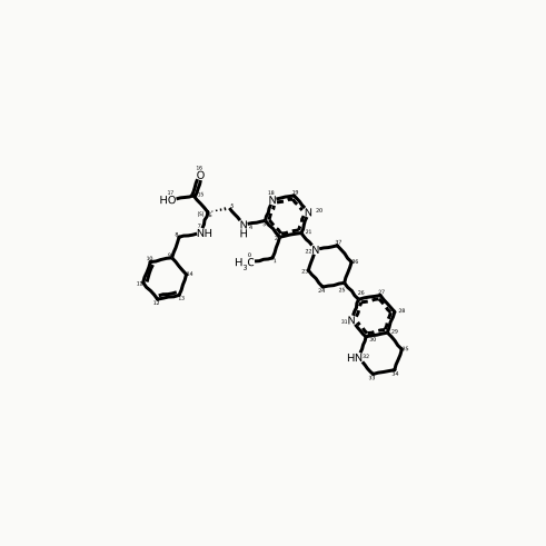 CCc1c(NC[C@H](NCC2C=CC=CC2)C(=O)O)ncnc1N1CCC(c2ccc3c(n2)NCCC3)CC1